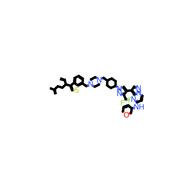 C=CC(CCC(=C)C)c1csc2c(CN3CCN(CC4CCC(n5cc(-c6cnn7ccc(NC8C=CCOC8)nc67)c(C(F)F)n5)CC4)CC3)cccc12